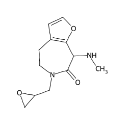 CNC1C(=O)N(CC2CO2)CCc2ccoc21